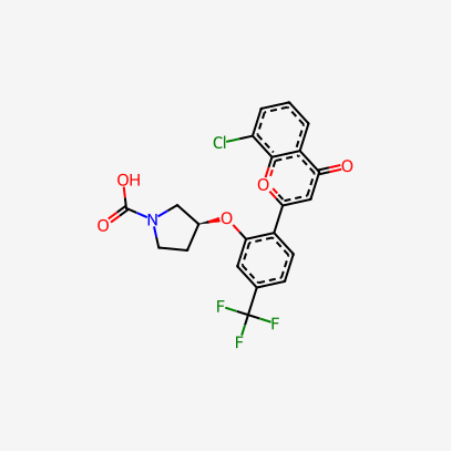 O=C(O)N1CC[C@H](Oc2cc(C(F)(F)F)ccc2-c2cc(=O)c3cccc(Cl)c3o2)C1